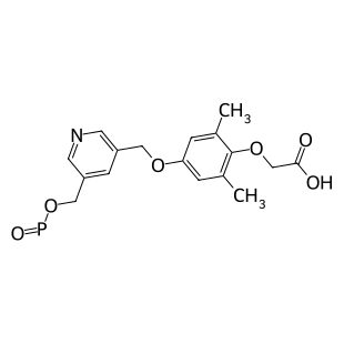 Cc1cc(OCc2cncc(COP=O)c2)cc(C)c1OCC(=O)O